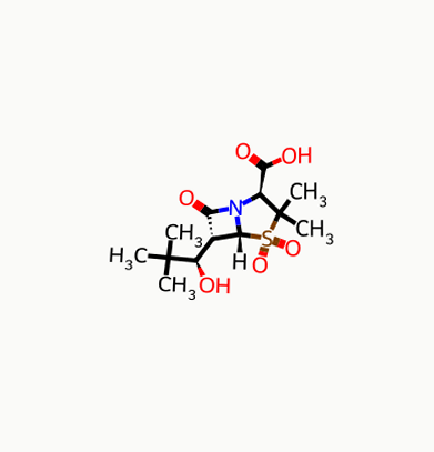 CC(C)(C)[C@H](O)[C@@H]1C(=O)N2[C@@H](C(=O)O)C(C)(C)S(=O)(=O)[C@H]12